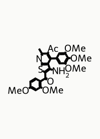 COc1ccc(C(=O)c2sc3nc(C)c(C(C)=O)c(-c4cc(OC)c(OC)c(OC)c4)c3c2N)c(OC)c1